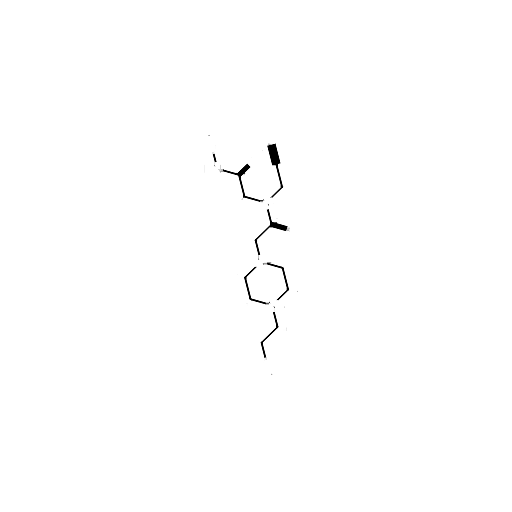 C#CCN(CC(=O)NO)C(=O)CN1CCN(CCO)CC1